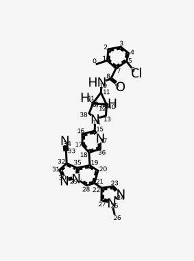 Cc1cccc(Cl)c1C(=O)NC1[C@H]2CN(c3ccc(-c4cc(-c5cnn(C)c5)cn5ncc(C#N)c45)cn3)C[C@@H]12